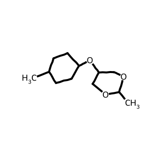 CC1CCC(OC2COC(C)OC2)CC1